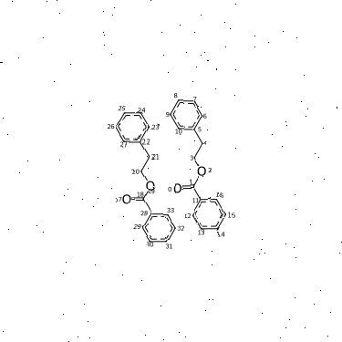 O=C(OCCc1ccccc1)c1ccccc1.O=C(OCCc1ccccc1)c1ccccc1